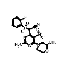 Cc1nc(C(C#N)S(=O)(=O)c2ccccc2F)c([N+](=O)[O-])c(N2CCOC(C)C2)n1